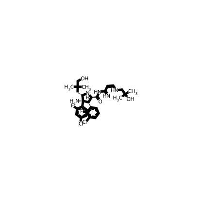 CC(C)(O)CN/C=C\C(=N)NC(=O)[C@@H]1N[C@@H](CC(C)(C)CO)[C@](N)(c2ccc(Cl)cc2F)[C@H]1c1cccc(Cl)c1F